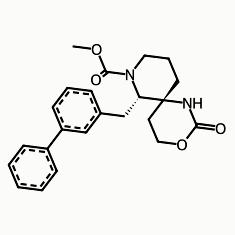 COC(=O)N1CCC[C@@]2(CCOC(=O)N2)[C@@H]1Cc1cccc(-c2ccccc2)c1